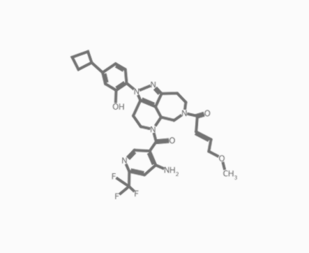 COCC=CC(=O)N1CCc2nn(-c3ccc(C4CCC4)cc3O)c3c2C(C1)N(C(=O)c1cnc(C(F)(F)F)cc1N)CC3